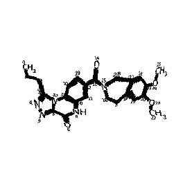 CCCc1nnc2c(=O)[nH]c3cc(C(=O)N4CCc5cc(OC)c(OC)cc5C4)ccc3n12